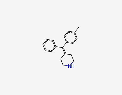 Cc1ccc(C(=C2CCNCC2)c2ccccc2)cc1